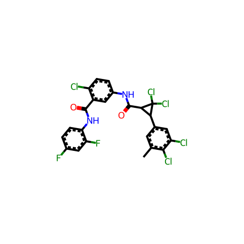 Cc1cc(C2C(C(=O)Nc3ccc(Cl)c(C(=O)Nc4ccc(F)cc4F)c3)C2(Cl)Cl)cc(Cl)c1Cl